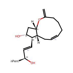 C=C1CCC/C=C\C[C@@H]2[C@@H](/C=C/[C@@H](O)CCCCC)[C@H](O)C[C@@H]2O1